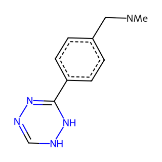 CNCc1ccc(C2=NN=CNN2)cc1